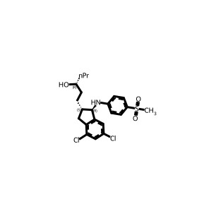 CCC[C@@H](O)CC[C@H]1Cc2c(Cl)cc(Cl)cc2[C@@H]1Nc1ccc(S(C)(=O)=O)cc1